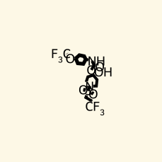 O=C(Nc1ccc(OC(F)(F)F)cc1)OC1(O)CCN(S(=O)(=O)CCC(F)(F)F)CC1